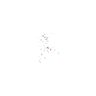 CC[C@]12C=CCN3CC[C@@]4(c5cc([C@@]6(C(=O)OC)C[C@H]7CC(C(C)(F)F)CN(CCc8c6[nH]c6ccc(CS)cc86)C7)c(OC)cc5N(C)[C@H]4[C@@](O)(C(=O)OC)[C@@H]1C)[C@@H]32